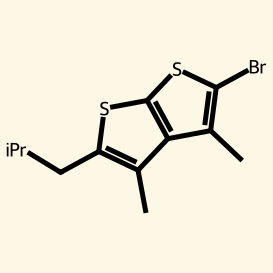 Cc1c(Br)sc2sc(CC(C)C)c(C)c12